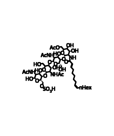 CCCCCC/C=C\CCCCC/C=C/C(=O)NC1[C@H](O[C@H]2C(O)C(NC(C)=O)[C@H](O[C@@H]3C(CO)O[C@@H](O[C@H]4C(O)C(NC(C)=O)C(O)O[C@H]4COS(=O)(=O)O)C(NC(C)=O)[C@H]3O)O[C@H]2CO)OC(COC(C)=O)[C@@H](O)[C@@H]1O